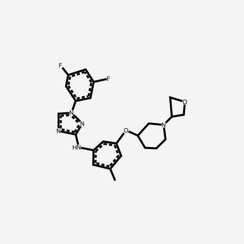 Cc1cc(Nc2ncn(-c3cc(F)cc(F)c3)n2)cc(OC2CCCN(C3COC3)C2)c1